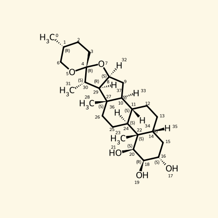 C[C@@H]1CC[C@@]2(OC1)O[C@H]1C[C@H]3[C@@H]4CC[C@@H]5C[C@H](O)[C@@H](O)[C@@H](O)[C@]5(C)[C@H]4CC[C@]3(C)[C@H]1[C@@H]2C